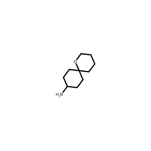 NC1CCC2(CCCCO2)CC1